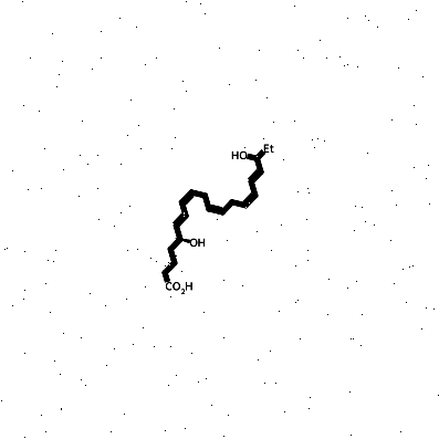 CCC(O)/C=C/C=C\C/C=C\C/C=C\C=C\[C@@H](O)CCCC(=O)O